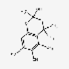 Cc1cc2c(c(C)c1O)C(C)(C)CC(C)(O)O2